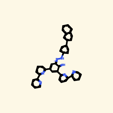 N=C1C(c2cccc(-c3ccccn3)n2)=CC(c2cccc(-c3ccccn3)n2)=C/C1=N/Nc1ccc(-c2ccc3ccccc3c2)cc1